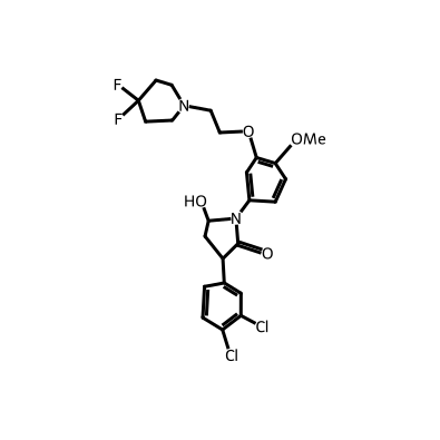 COc1ccc(N2C(=O)C(c3ccc(Cl)c(Cl)c3)CC2O)cc1OCCN1CCC(F)(F)CC1